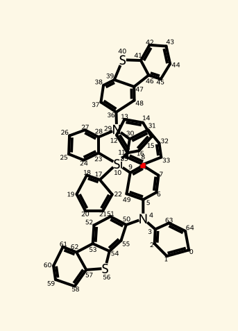 c1ccc(N(c2cccc([Si](c3ccccc3)(c3ccccc3)c3ccccc3N(c3ccccc3)c3ccc4sc5ccccc5c4c3)c2)c2ccc3c(c2)sc2ccccc23)cc1